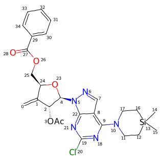 C=C1[C@@H](OC(C)=O)[C@H](n2ncc3c(N4CC[Si](C)(C)CC4)nc(Cl)nc32)O[C@@H]1COC(=O)c1ccccc1